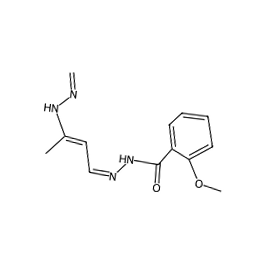 C=NN/C(C)=C/C=N\NC(=O)c1ccccc1OC